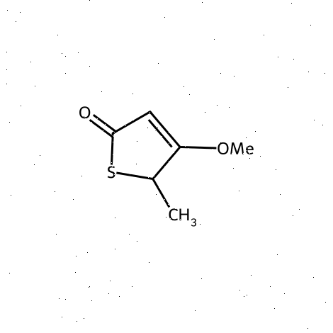 COC1=CC(=O)SC1C